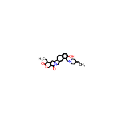 CC=C1CCN(Cc2c(O)ccc3c2C=C2Cn4c(cc5c(c4=O)COC(=O)C5CC)C2=CC3)CC1